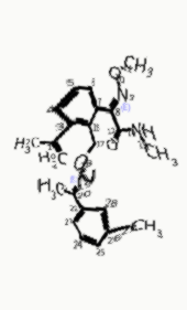 C=C(C)c1cccc(/C(=N\OC)C(=O)NC)c1CO/N=C(\C)c1cccc(C)c1